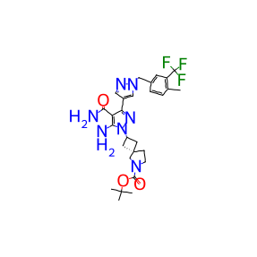 Cc1ccc(Cn2cc(-c3nn([C@H]4C[C@@]5(CCN(C(=O)OC(C)(C)C)C5)C4)c(N)c3C(N)=O)cn2)cc1C(F)(F)F